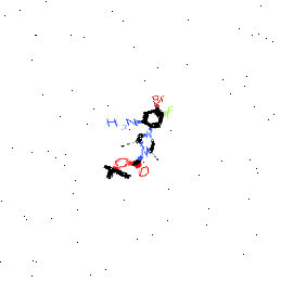 C[C@@H]1CN(c2cc(F)c(Br)cc2N)C[C@H](C)N1C(=O)OC(C)(C)C